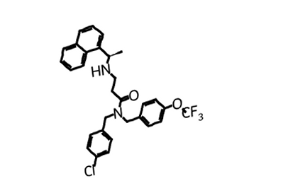 C[C@@H](NCCC(=O)N(Cc1ccc(Cl)cc1)Cc1ccc(OC(F)(F)F)cc1)c1cccc2ccccc12